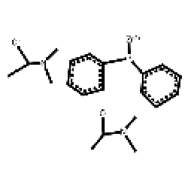 CC([O-])N(C)C.CC([O-])N(C)C.[Zr+2][P](c1ccccc1)c1ccccc1